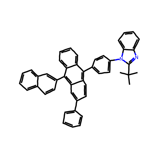 CC(C)(C)c1nc2ccccc2n1-c1ccc(-c2c3ccccc3c(-c3ccc4ccccc4c3)c3cc(-c4ccccc4)ccc23)cc1